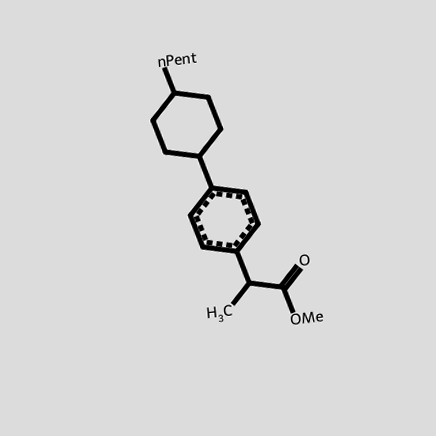 CCCCCC1CCC(c2ccc(C(C)C(=O)OC)cc2)CC1